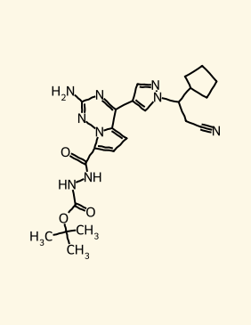 CC(C)(C)OC(=O)NNC(=O)c1ccc2c(-c3cnn(C(CC#N)C4CCCC4)c3)nc(N)nn12